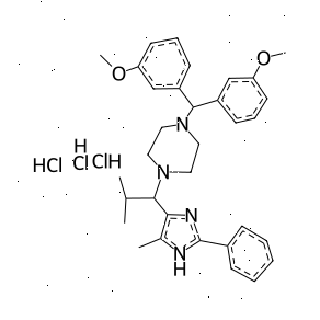 COc1cccc(C(c2cccc(OC)c2)N2CCN(C(c3nc(-c4ccccc4)[nH]c3C)C(C)C)CC2)c1.Cl.Cl.Cl